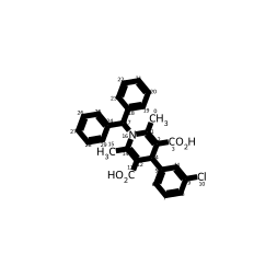 CC1=C(C(=O)O)C(c2cccc(Cl)c2)C(C(=O)O)=C(C)N1C(c1ccccc1)c1ccccc1